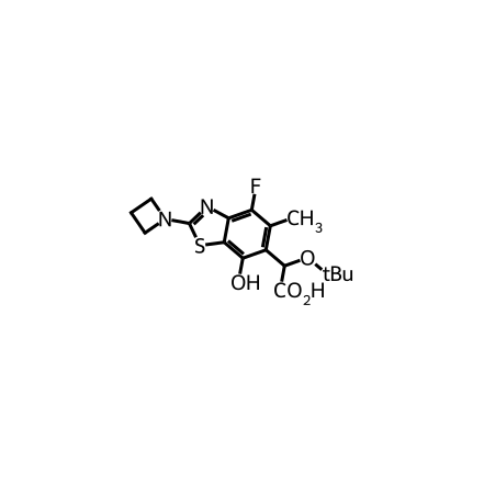 Cc1c(C(OC(C)(C)C)C(=O)O)c(O)c2sc(N3CCC3)nc2c1F